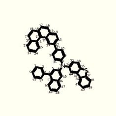 c1ccc(-c2cc(N(c3ccc(-c4ccc5ccc6ccc7ccccc7c6c5c4)cc3)c3ccc4sc5ccccc5c4c3)cc3ccccc23)cc1